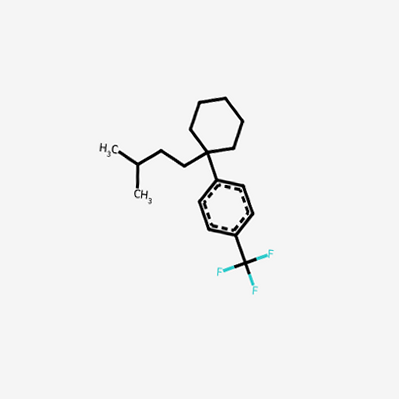 CC(C)CCC1(c2ccc(C(F)(F)F)cc2)CCCCC1